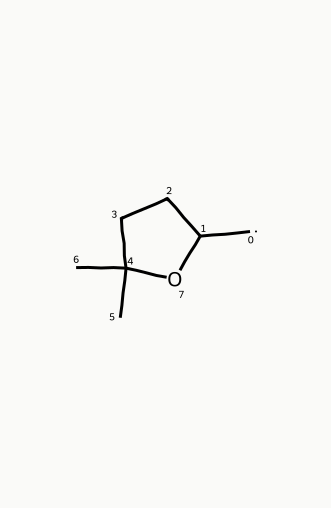 [CH2]C1CCC(C)(C)O1